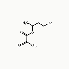 C=C(C)C(=O)OC(C)CCC(C)=O